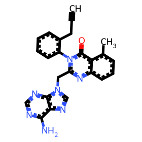 C#CCc1ccccc1-n1c(Cn2cnc3c(N)ncnc32)nc2cccc(C)c2c1=O